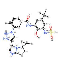 COc1c(NC(=O)c2ccc(C)c(N3C=C(c4cnc5n4C4(CC5)CC4C)NN3)c2)cc(C(C)(C)C)cc1NS(C)(=O)=O